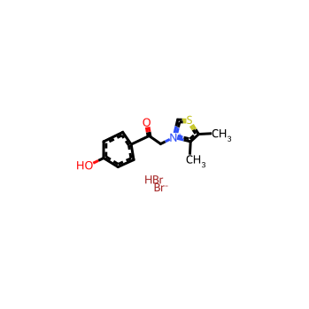 Br.Cc1sc[n+](CC(=O)c2ccc(O)cc2)c1C.[Br-]